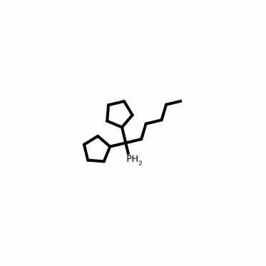 CCCCCC(P)(C1CCCC1)C1CCCC1